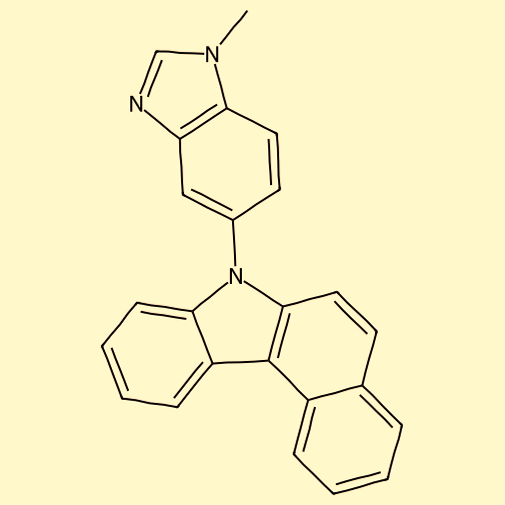 Cn1cnc2cc(-n3c4ccccc4c4c5ccccc5ccc43)ccc21